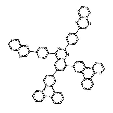 c1ccc2nc(-c3ccc(-c4nc(-c5ccc(-c6cnc7ccccc7n6)cc5)c5cc(-c6ccc7c8ccccc8c8ccccc8c7c6)cc(-c6ccc7c8ccccc8c8ccccc8c7c6)c5n4)cc3)cnc2c1